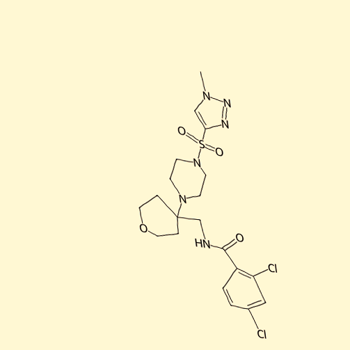 Cn1cc(S(=O)(=O)N2CCN(C3(CNC(=O)c4ccc(Cl)cc4Cl)CCOCC3)CC2)nn1